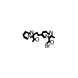 CC(=O)c1c(CCc2ccc3nc(C)c(C(=O)CBr)n3c2)nc2ccccn12